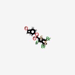 O=C1Cc2cc(OC(=O)c3sc4c(Br)sc(Br)c4c3F)ccc21